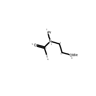 COCCN(C(=O)I)C(C)C